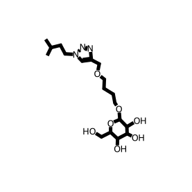 CC(C)CCn1cc(COCCCCOC2OC(CO)C(O)C(O)C2O)nn1